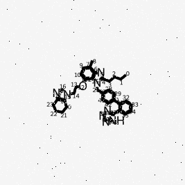 CCCCc1nc2c(C)ccc(OCCn3cnc4c3CCCC4)c2n1Cc1ccc(-c2ccccc2-c2nnn[nH]2)cc1